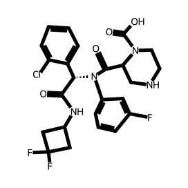 O=C(NC1CC(F)(F)C1)[C@H](c1ccccc1Cl)N(C(=O)C1CNCCN1C(=O)O)c1cccc(F)c1